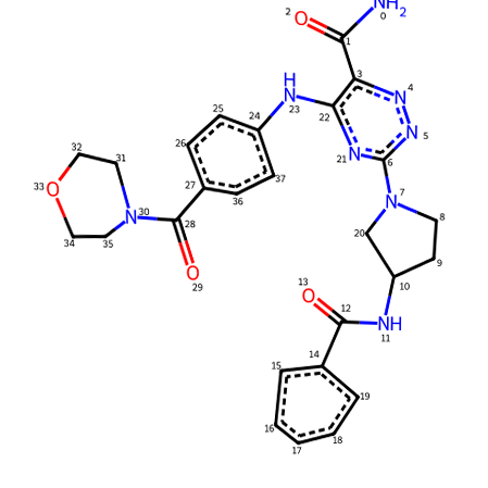 NC(=O)c1nnc(N2CCC(NC(=O)c3ccccc3)C2)nc1Nc1ccc(C(=O)N2CCOCC2)cc1